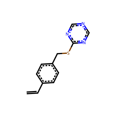 C=Cc1ccc(CSc2ncncn2)cc1